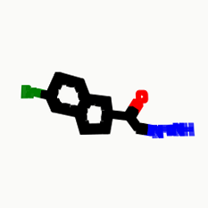 N=[N+]=CC(=O)c1ccc2cc(Br)ccc2c1